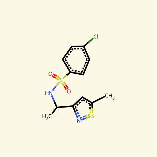 Cc1cc(C(C)NS(=O)(=O)c2ccc(Cl)cc2)ns1